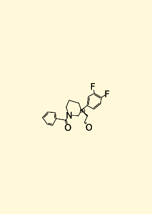 O=CC[C@]1(c2ccc(F)c(F)c2)CCCN(C(=O)c2ccccc2)C1